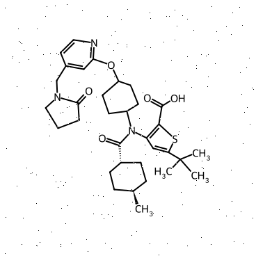 CC(C)(C)c1cc(N(C(=O)[C@H]2CC[C@H](C)CC2)C2CCC(Oc3cc(CN4CCCC4=O)ccn3)CC2)c(C(=O)O)s1